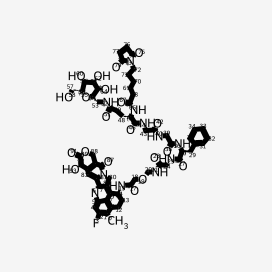 Cc1c(F)cc2nc3c(c4c2c1CC[C@@H]4NC(=O)COCNC(=O)CNC(=O)[C@H](Cc1ccccc1)NC(=O)CNC(=O)CNC(=O)[C@H](CCC(=O)NC[C@@H]1O[C@H](CO)[C@@H](O)[C@H](O)[C@H]1O)NC(=O)CCCCCN1C(=O)C=CC1=O)Cn1c-3cc2c(c1=O)COC(=O)[C@H]2O